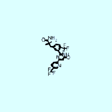 CC(C)(Cc1ccc(C(F)(F)F)c(-c2nc(-c3ccc(C(F)(F)F)cn3)cc(=O)[nH]2)c1)C(N)=O